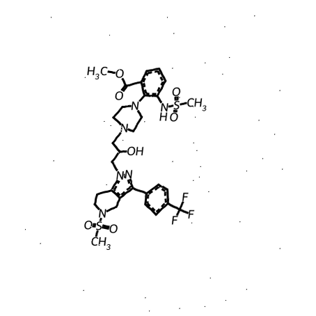 COC(=O)c1cccc(NS(C)(=O)=O)c1N1CCN(CC(O)Cn2nc(-c3ccc(C(F)(F)F)cc3)c3c2CCN(S(C)(=O)=O)C3)CC1